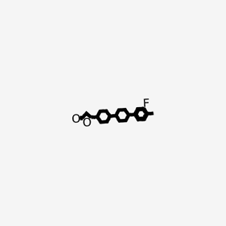 Cc1ccc(C2CCC(C3CCC(C4CC(=O)O4)CC3)CC2)cc1F